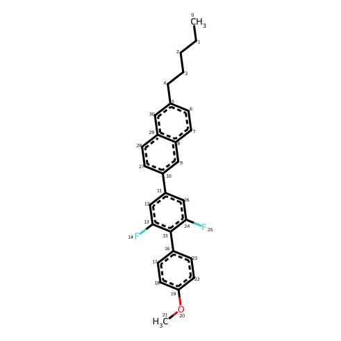 CCCCCc1ccc2cc(-c3cc(F)c(-c4ccc(OC)cc4)c(F)c3)ccc2c1